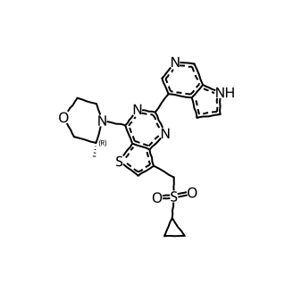 C[C@@H]1COCCN1c1nc(-c2cncc3[nH]ccc23)nc2c(CS(=O)(=O)C3CC3)csc12